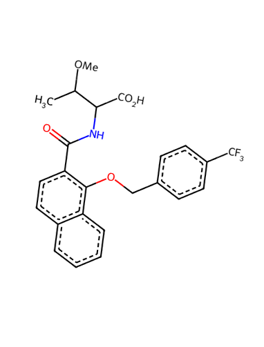 COC(C)C(NC(=O)c1ccc2ccccc2c1OCc1ccc(C(F)(F)F)cc1)C(=O)O